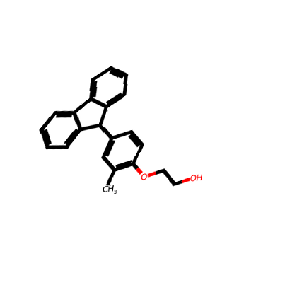 Cc1cc(C2c3ccccc3-c3ccccc32)ccc1OCCO